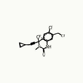 CN1C(=O)Nc2cc(CCl)c(Cl)cc2C1(C#CC1CC1)C(F)(F)F